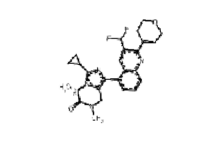 C[C@H]1C(=O)N(C)Cc2c(-c3cccc4nc(C5=CCOCC5)c(C(F)F)cc34)nc(C3CC3)n21